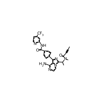 CC#CC(=O)N(C)C(C)c1nc(-c2ccc(C(=O)Nc3cc(C(F)(F)F)ccn3)cc2)c2c(N)nccn12